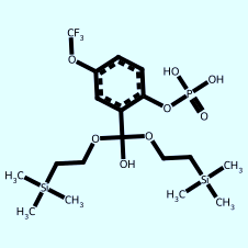 C[Si](C)(C)CCOC(O)(OCC[Si](C)(C)C)c1cc(OC(F)(F)F)ccc1OP(=O)(O)O